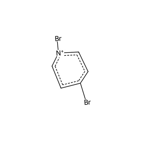 Brc1cc[n+](Br)cc1